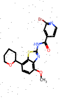 COc1ccc(C2CCCCO2)c2sc(NC(=O)c3ccnc(Br)c3)nc12